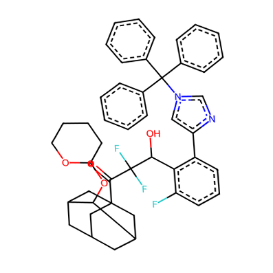 O=C(C12CC3CC(C1)C(OC1CCCCO1)C(C3)C2)C(F)(F)C(O)c1c(F)cccc1-c1cn(C(c2ccccc2)(c2ccccc2)c2ccccc2)cn1